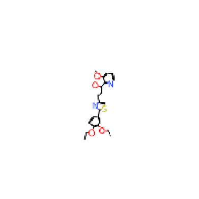 CCOc1ccc(-c2nc(CCC(=O)c3ncccc3OC)cs2)cc1OCC